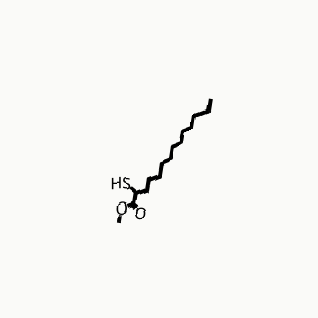 CCCCCCCCCCCCC(S)C(=O)OC